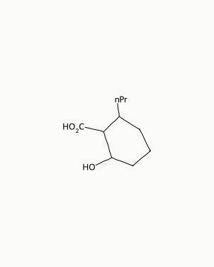 CCCC1CCCC(O)C1C(=O)O